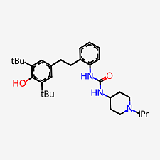 CC(C)N1CCC(NC(=O)Nc2ccccc2CCc2cc(C(C)(C)C)c(O)c(C(C)(C)C)c2)CC1